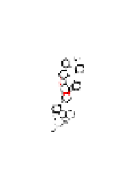 C=C1CC(CC)CC(C)C12c1ccccc1-c1c(-c3ccc(-c4cccc(C(c5cccc6c5-c5ccccc5C6(C)C)c5cccc6oc7ccccc7c56)c4)cc3)cccc12